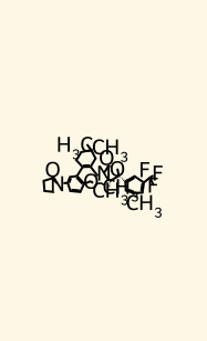 COc1ccc(N2CCCC2=O)cc1C1=C(CN2C(=O)O[C@H](c3cc(C)cc(C(F)(F)F)c3)[C@@H]2C)CC(C)(C)CC1